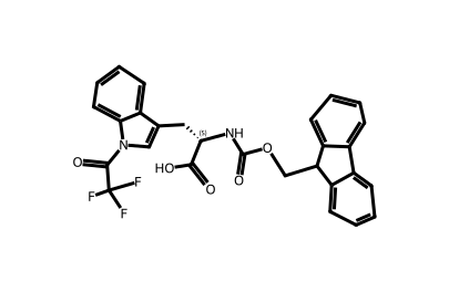 O=C(N[C@@H](Cc1cn(C(=O)C(F)(F)F)c2ccccc12)C(=O)O)OCC1c2ccccc2-c2ccccc21